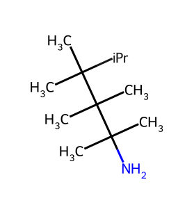 CC(C)C(C)(C)C(C)(C)C(C)(C)N